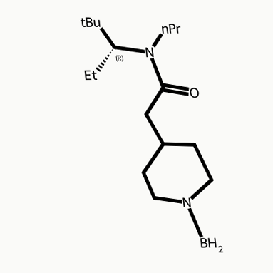 BN1CCC(CC(=O)N(CCC)[C@H](CC)C(C)(C)C)CC1